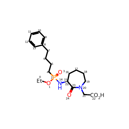 CCOP(=O)(CCCCc1ccccc1)N[C@H]1CCCCN(CC(=O)O)C1=O